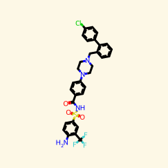 Nc1ccc(S(=O)(=O)NC(=O)c2ccc(N3CCN(Cc4ccccc4-c4ccc(Cl)cc4)CC3)cc2)cc1C(F)(F)F